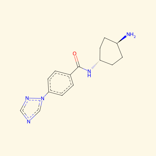 N[C@H]1CC[C@H](NC(=O)c2ccc(-n3cncn3)cc2)CC1